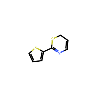 C1=CN=C(c2cccs2)SC1